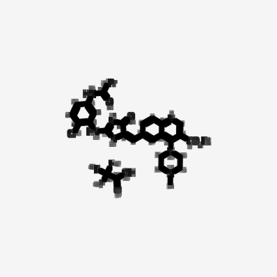 CCOC(=O)c1cnc2ccc(C=C3SC(Nc4cc(NC(=O)C(C)C)ccc4Cl)=NC3=O)cc2c1N1CCN(C)CC1.O=C(O)C(F)(F)F